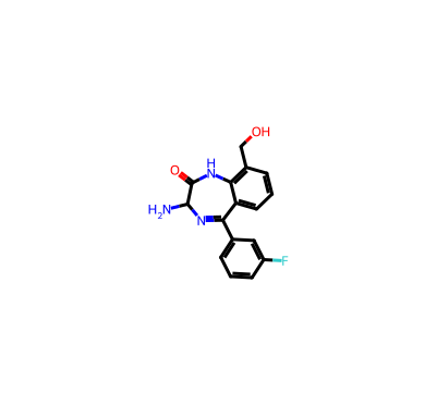 NC1N=C(c2cccc(F)c2)c2cccc(CO)c2NC1=O